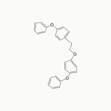 c1ccc(Oc2ccc(CCOc3ccc(Oc4ccccc4)cc3)cc2)cc1